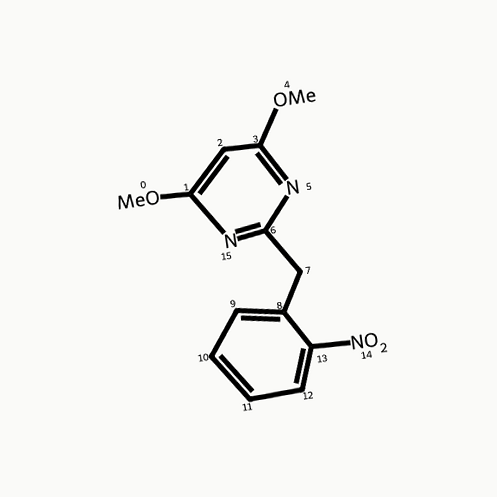 COc1cc(OC)nc(Cc2ccccc2[N+](=O)[O-])n1